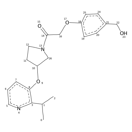 CC(C)c1ncccc1OC1CCN(C(=O)COc2ccc(CO)cc2)C1